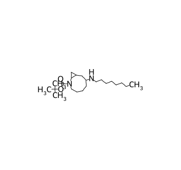 CCCCCCCCNC1CCCCN(C(=O)OC(C)(C)C)C2CC2C1